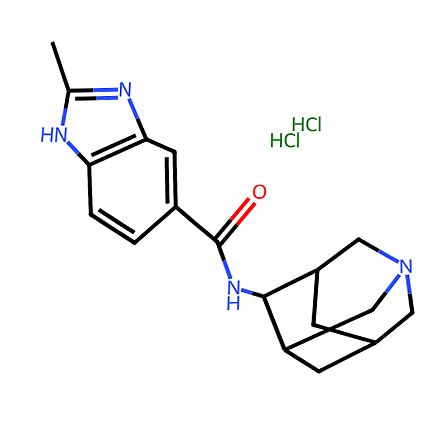 Cc1nc2cc(C(=O)NC3C4CC5CC3CN(C5)C4)ccc2[nH]1.Cl.Cl